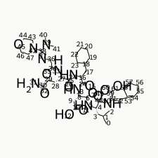 CC(C)C[C@H](NC(=O)[C@H](CC(=O)O)NC(=O)[C@H](CC1CCCCC1)NC(=O)[C@H](CCC(N)=O)NC(=O)C/N=C(\N(C)C)N1CCOCC1)C(=O)N[C@@H](Cc1ccccc1)C(=O)O